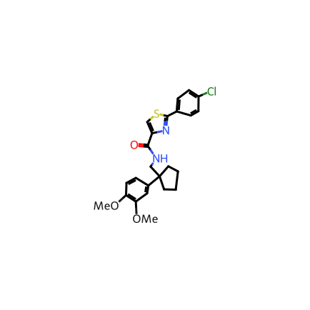 COc1ccc(C2(CNC(=O)c3csc(-c4ccc(Cl)cc4)n3)CCCC2)cc1OC